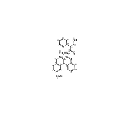 COc1ccc2c(c1)C(c1ccccc1)=C(C(=O)NC(=O)C(CO)c1ccccc1)N(C)C2